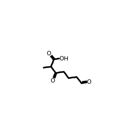 CC(C(=O)O)C(=O)CCCC=O